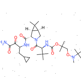 CN(OCC(C)(C)OC(=O)N[C@H](C(=O)N1C[C@H]2[C@@H]([C@H]1C(=O)NC(CC1CC1)C(=O)C(N)=O)C2(C)C)C(C)(C)C)C(C)(C)C